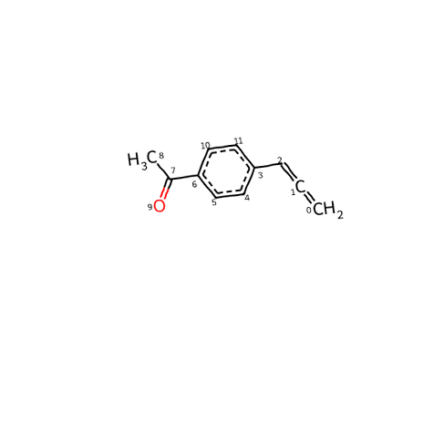 C=C=Cc1ccc(C(C)=O)cc1